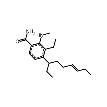 CCC=CCCC(CC)c1ccc(C(N)=O)c(NC)c1CC